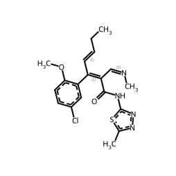 CC/C=C/C(=C(\C=N/C)C(=O)Nc1nnc(C)s1)c1cc(Cl)ccc1OC